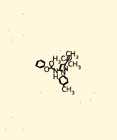 COC(C)(C)c1cc(NC(=O)Oc2ccccc2)n(-c2ccc(C)cc2)n1